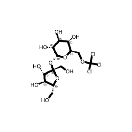 OC[C@H]1O[C@@](CO)(O[C@H]2O[C@H](COC(Cl)(Cl)Cl)[C@@H](O)[C@H](O)[C@H]2O)[C@@H](O)[C@@H]1O